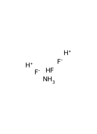 F.N.[F-].[F-].[H+].[H+]